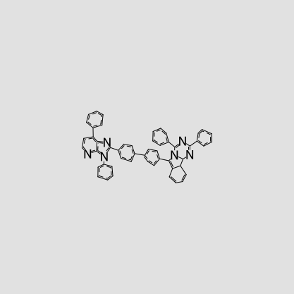 C1=CC2=C(c3ccc(-c4ccc(-c5nc6c(-c7ccccc7)ccnc6n5-c5ccccc5)cc4)cc3)N3C(c4ccccc4)=NC(c4ccccc4)=NC3C2C=C1